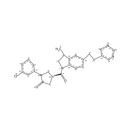 CC1CN(C(=O)[C@H]2CC(=O)N(c3cccc(Cl)c3)C2)c2ccc(CCc3cncnc3)cc21